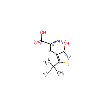 CC(C)(C)c1snc(O)c1C[C@H](N)C(=O)O